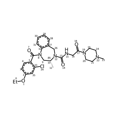 CCOc1ccc(C(=O)N2C[C@@H](C)N(C(=O)NCC(=O)N3CCN(C)CC3)Cc3ccccc32)c(Cl)c1